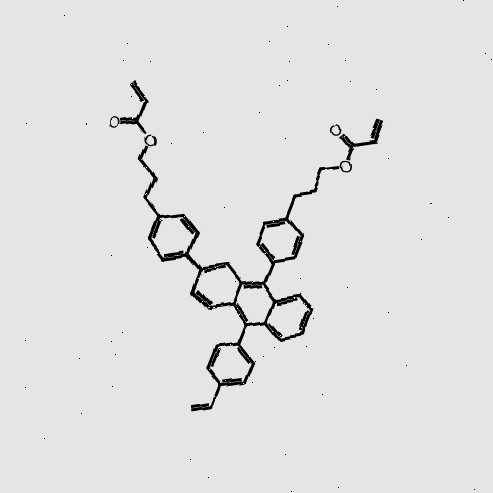 C=CC(=O)OCCCc1ccc(-c2ccc3c(-c4ccc(C=C)cc4)c4ccccc4c(-c4ccc(CCCOC(=O)C=C)cc4)c3c2)cc1